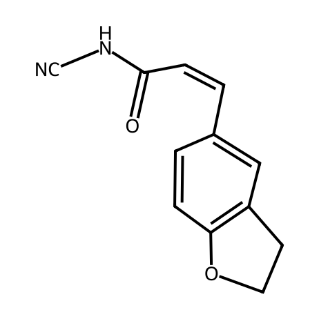 N#CNC(=O)/C=C\c1ccc2c(c1)CCO2